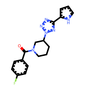 O=C(c1ccc(F)cc1)N1CCCC(n2nnc(-c3ccc[nH]3)n2)C1